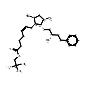 [CH2]C([CH2])(C)COC(=O)CCC/C=C\C[C@@H]1[C@@H](CC[C@@H](O)CCc2ccccc2)[C@H](O)C[C@@H]1O